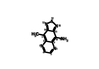 Cc1c2nccnc2c(N)c2nsnc12